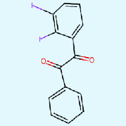 O=C(C(=O)c1cccc(I)c1I)c1ccccc1